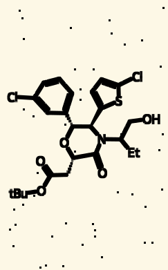 CCC(CO)N1C(=O)[C@H](CC(=O)OC(C)(C)C)O[C@H](c2cccc(Cl)c2)[C@H]1c1ccc(Cl)s1